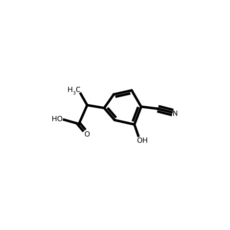 CC(C(=O)O)c1ccc(C#N)c(O)c1